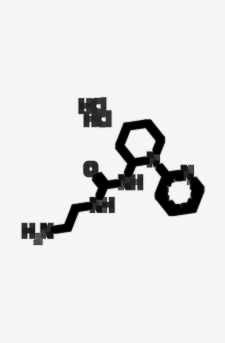 Cl.Cl.NCCNC(=O)NC1CCCCN1c1ccccn1